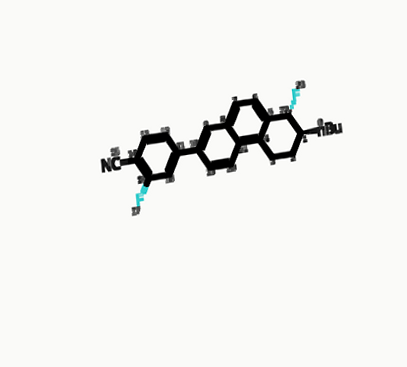 CCCC[C@H]1CCc2c(ccc3cc(-c4ccc(C#N)c(F)c4)ccc23)[C@@H]1F